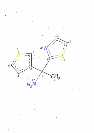 CC(N)(c1ccsc1)c1nccs1